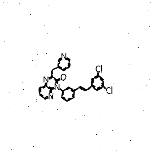 O=c1c(Cc2cccnc2)nc2cccnc2n1-c1cccc(C=Cc2cc(Cl)cc(Cl)c2)c1